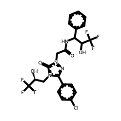 O=C(Cn1nc(-c2ccc(Cl)cc2)n(C[C@H](O)C(F)(F)F)c1=O)NC(c1ccccc1)C(O)C(F)(F)F